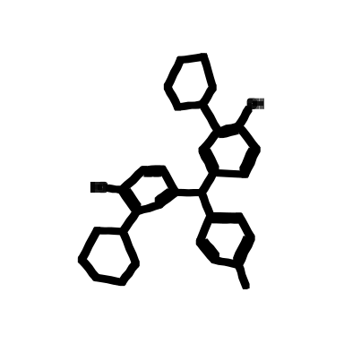 Cc1ccc(C(c2ccc(O)c(C3CCCCC3)c2)c2ccc(O)c(C3CCCCC3)c2)cc1